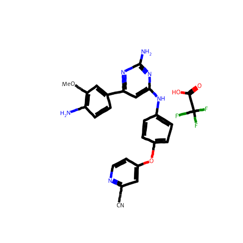 COc1cc(-c2cc(Nc3ccc(Oc4ccnc(C#N)c4)cc3)nc(N)n2)ccc1N.O=C(O)C(F)(F)F